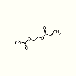 C=CC(=O)OCCOC(=O)CCC